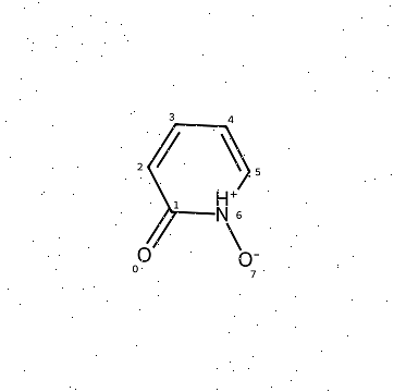 O=C1C=CC=[C][NH+]1[O-]